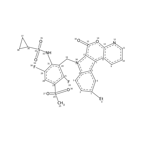 CCc1ccc2c(c1)c1c3cccnc3oc(=O)c1n2Cc1c(F)c(S(C)(=O)=O)cc(F)c1NS(=O)(=O)C1CC1